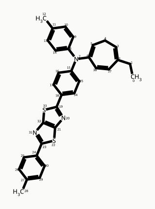 CCC1=CCC=C(N(c2ccc(C)cc2)c2ccc(-c3nc4sc(-c5ccc(C)cc5)nc4s3)cc2)C=C1